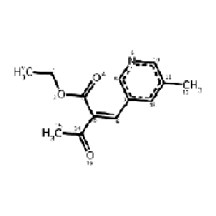 CCOC(=O)C(=Cc1cncc(C)c1)C(C)=O